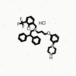 Cl.FC(F)(F)c1cccc(CN(CCCOc2cccc(N3CCNCC3)c2)CC(c2ccccc2)c2ccccc2)c1Cl